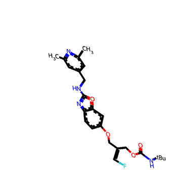 Cc1cc(CNc2nc3ccc(OC/C(=C/F)COC(=O)NC(C)(C)C)cc3o2)cc(C)n1